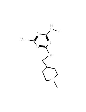 CCCCCCCCNc1nc(NCC2CCN(C)CC2)nc(SC)n1